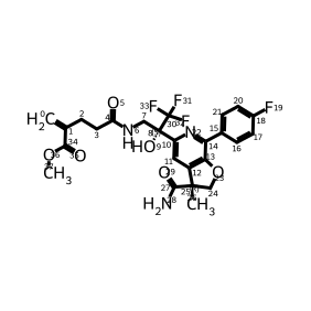 C=C(CCC(=O)NC[C@](O)(c1cc2c(c(-c3ccc(F)cc3)n1)OC[C@]2(C)C(N)=O)C(F)(F)F)C(=O)OC